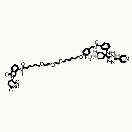 CN1CCC(Nc2cccc(C(=O)NCc3ccc(OCCCCCCOCCOCCOCCCCCC(=O)Nc4cccc5c4CN(C4CCC(=O)NC4=O)C5=O)cc3)c2)(c2nnc(-c3ccncc3)[nH]2)CC1